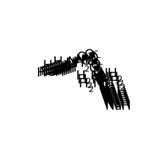 CC(=O)[O-].CC(=O)[O-].CC(=O)[O-].CC(=O)[O-].NCCN.NCCN.NCCN.NCCN.NCCN.[H-].[Na+].[Na+].[Na+].[Na+].[Na+].[NaH].[NaH].[NaH].[NaH].[NaH].[NaH].[NaH].[NaH].[NaH].[NaH].[NaH].[NaH].[NaH].[NaH].[NaH]